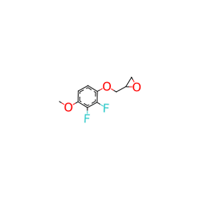 COc1ccc(OCC2CO2)c(F)c1F